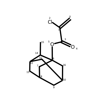 C=C(Cl)C(=O)OC12CC3CC(CC(C3)C1C)C2